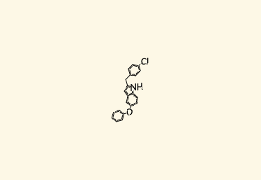 Clc1ccc(Cc2cc3cc(Oc4ccccc4)ccc3[nH]2)cc1